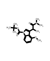 COc1cccc2c1c(C(C)C(=O)N(C)C)cn2C(=O)OC(C)(C)C